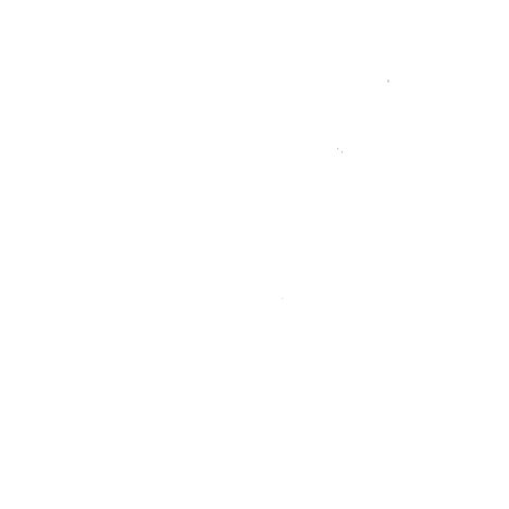 CCCCCCCCCC(CCCCCCCC)COC(=O)CCCCCNCCO